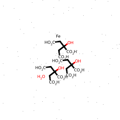 O.O=C(O)CC(O)(CC(=O)O)C(=O)O.O=C(O)CC(O)(CC(=O)O)C(=O)O.O=C(O)CC(O)(CC(=O)O)C(=O)O.[Fe]